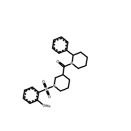 COc1ccccc1S(=O)(=O)N1CCCC(C(=O)N2CCCCC2c2ccccc2)C1